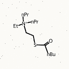 CCCCC(=O)SCC[N+](CC)(CCC)CCC